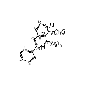 Nc1nc(-c2ccccc2)cc2c1C(C=O)NC=C2